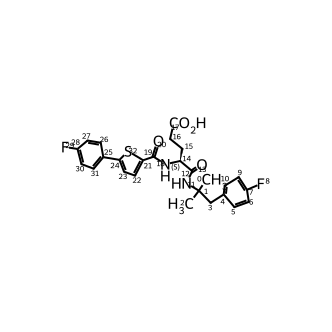 CC(C)(Cc1ccc(F)cc1)NC(=O)[C@H](CCC(=O)O)NC(=O)c1ccc(-c2ccc(F)cc2)s1